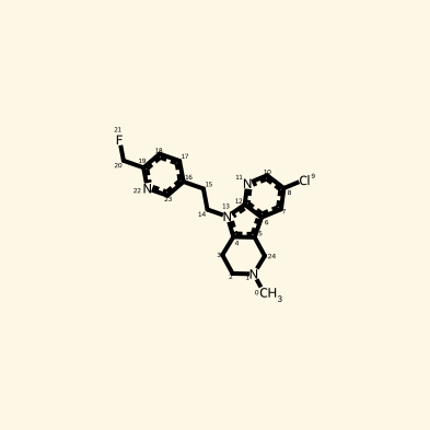 CN1CCc2c(c3cc(Cl)cnc3n2CCc2ccc(CF)nc2)C1